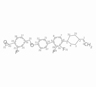 C=CC1CCC(c2ccc(-c3ccc(OCc4ccc(C5CO5)c(F)c4)cc3)c(F)c2F)CC1